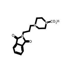 O=C(O)N1CCN(CCCN2C(=O)c3ccccc3C2=O)CC1